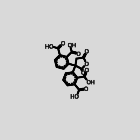 O=C1CC(c2cccc(C(=O)O)c2C(=O)O)(c2cccc(C(=O)O)c2C(=O)O)C(=O)O1